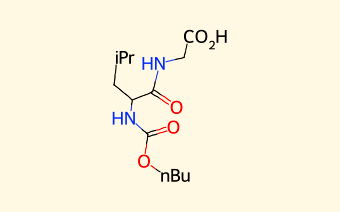 CCCCOC(=O)NC(CC(C)C)C(=O)NCC(=O)O